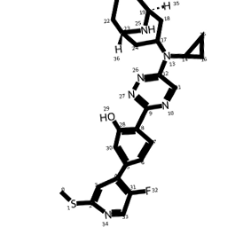 CSc1cc(-c2ccc(-c3ncc(N(C4CC4)C4C[C@@H]5CCC[C@@H](C4)N5)nn3)c(O)c2)c(F)cn1